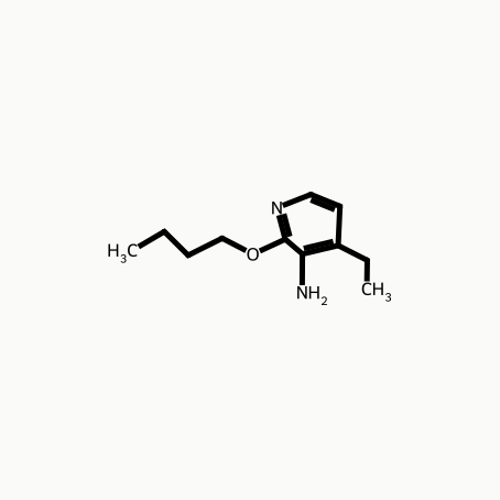 CCCCOc1nccc(CC)c1N